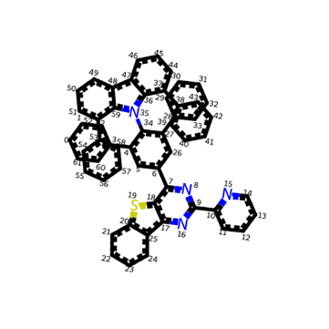 c1ccc(-c2cc(-c3nc(-c4ccccn4)nc4c3sc3ccccc34)cc(-c3ccccc3)c2-n2c3c(-c4ccccc4)cccc3c3cccc(-c4ccccc4)c32)cc1